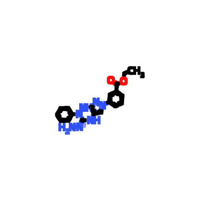 CCOC(=O)c1cccc(-n2cc(N/C(=N/N)N(N)c3ccccc3)cn2)c1